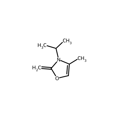 C=C1OC=C(C)N1C(C)C